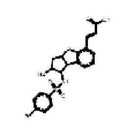 O=C(O)C=Cc1cccc2c1OC1CC(O)C(NS(=O)(=O)c3ccc(Br)cc3)C21